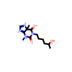 CC(O)CCCCN1C(=O)N(C)C2=NC=NC2(C)C1=O